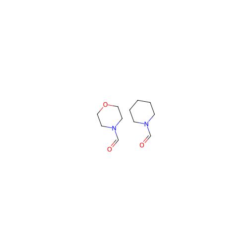 O=CN1CCCCC1.O=CN1CCOCC1